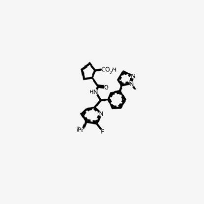 CC(C)c1ccc(C(NC(=O)C2CCCC2C(=O)O)c2cccc(-c3ccnn3C)c2)nc1F